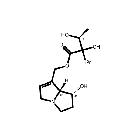 CC(C)C(O)(C(=O)OCC1=CCN2CC[C@@H](O)[C@@H]12)[C@H](C)O